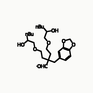 CCCCC(O)COCCC([C]=O)(CCOCC(O)CCCC)Cc1ccc2c(c1)OCO2